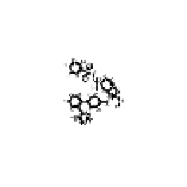 CCc1nc2ccc(NCS(=O)(=O)c3ccccc3)cc2n1Cc1ccc(-c2ccccc2-c2nnn[nH]2)cc1